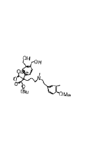 COC(=O)C(CCCN(C)CCc1ccc(OC)c(C)c1)(C(=O)OC(C)(C)C)c1ccc(CO)c(CO)c1